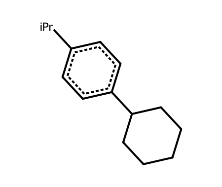 [CH2]C(C)c1ccc(C2CCCCC2)cc1